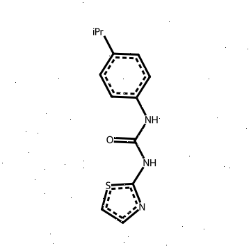 CC(C)c1ccc(NC(=O)Nc2nccs2)cc1